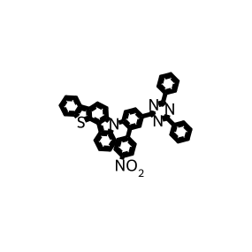 O=[N+]([O-])c1ccc(-c2cc(-c3nc(-c4ccccc4)nc(-c4ccccc4)n3)ccc2-n2c3ccccc3c3c4sc5ccccc5c4ccc32)cc1